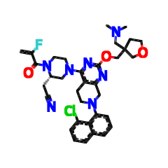 C=C(F)C(=O)N1CCN(c2nc(OCC3(CN(C)C)CCOC3)nc3c2CCN(c2cccc4cccc(Cl)c24)C3)C[C@@H]1CC#N